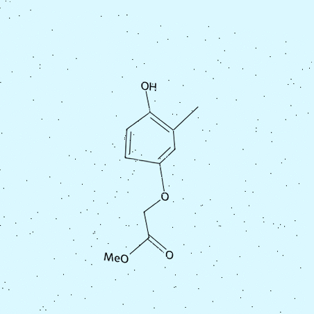 COC(=O)COc1ccc(O)c(C)c1